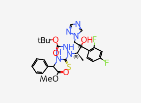 COC(=O)C(NC(=S)N(NC(=O)OC(C)(C)C)[C@H](C)[C@](O)(Cn1cncn1)c1ccc(F)cc1F)c1ccccc1